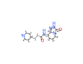 O=C(CCc1ccncc1)Nc1cccn2c(=O)[nH]nc12